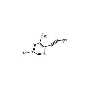 CCCC#Cc1ccc(C)cc1C=O